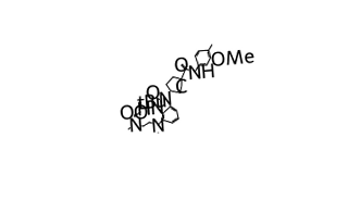 COc1cc(NC(=O)C2CCC(n3c(=O)[nH]c4c(N(C)CCN(C)C(=O)OC(C)(C)C)cccc43)CC2)ccc1C